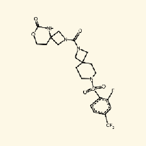 O=C1NC2(CCO1)CN(C(=O)N1CC3(CCN(S(=O)(=O)c4ccc(C(F)(F)F)cc4F)CC3)C1)C2